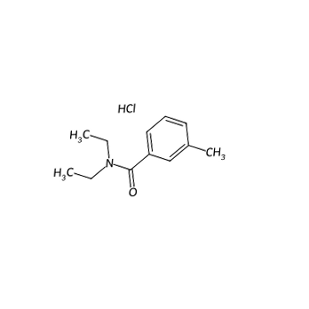 CCN(CC)C(=O)c1cccc(C)c1.Cl